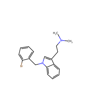 CN(C)CCc1cn(Cc2ccccc2Br)c2ccccc12